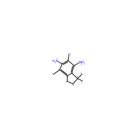 Cc1c(N)c(C)c2c(c1N)C(C)(C)CC2